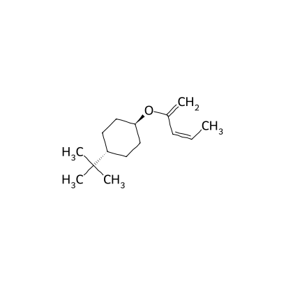 C=C(/C=C\C)O[C@H]1CC[C@H](C(C)(C)C)CC1